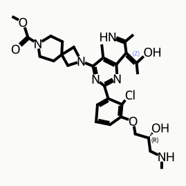 CNC[C@@H](O)COc1cccc(-c2nc(/C(C(C)=N)=C(\C)O)c(C)c(N3CC4(CCN(C(=O)OC)CC4)C3)n2)c1Cl